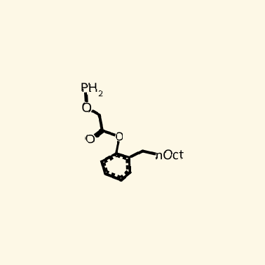 CCCCCCCCCc1ccccc1OC(=O)COP